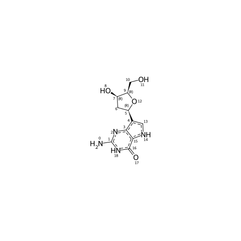 Nc1nc2c([C@H]3C[C@@H](O)[C@@H](CO)O3)c[nH]c2c(=O)[nH]1